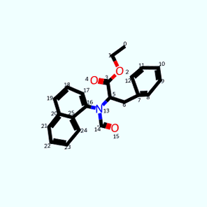 CCOC(=O)C(Cc1ccccc1)N([C]=O)c1cccc2ccccc12